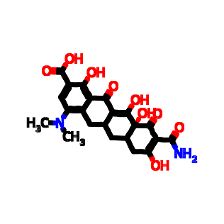 CN(C)c1cc(C(=O)O)c(O)c2c1CC1CC3CC(O)=C(C(N)=O)C(=O)[C@@]3(O)C(O)=C1C2=O